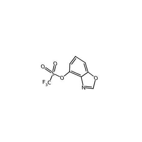 O=S(=O)(Oc1cccc2ocnc12)C(F)(F)F